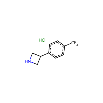 Cl.FC(F)(F)c1ccc(C2CNC2)cc1